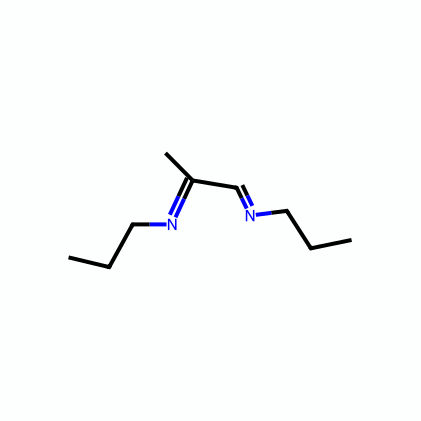 CCCN=CC(C)=NCCC